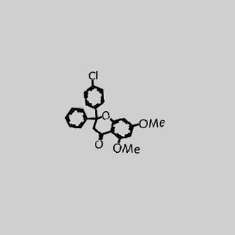 COc1cc(OC)c2c(c1)OC(c1ccccc1)(c1ccc(Cl)cc1)CC2=O